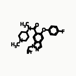 CC(C)Cn1ncc2cc(Oc3ccc(F)cc3)c(C(=O)N(C)C3CCN(C)CC3)cc21